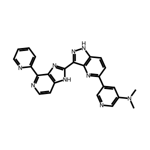 CN(C)c1cncc(-c2ccc3[nH]nc(-c4nc5c(-c6ccccn6)nccc5[nH]4)c3n2)c1